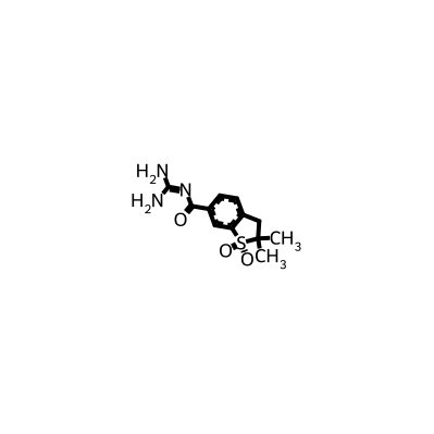 CC1(C)Cc2ccc(C(=O)N=C(N)N)cc2S1(=O)=O